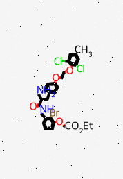 CCOC(=O)COc1cccc(CNC(=O)C(CN)Cc2ccc(OCCOc3c(Cl)cc(C)cc3Cl)cc2)c1Br